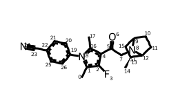 Cc1c(F)c(C(=O)CN2C3CCC2[C@@H](C)C3)c(C)n1-c1ccc(C#N)cc1